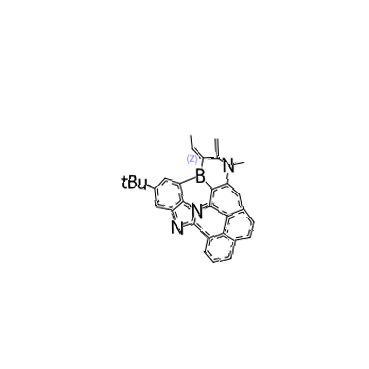 C=C1/C(=C\C)B2c3cc(C(C)(C)C)cc4nc5c6cccc7ccc8cc(c2c(c8c76)n5c34)N1C